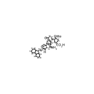 COc1ccc(C(=O)O)cc1N1CCC(=O)N(CNC(=O)[C@H](CC(N)=O)NC(=O)OCC2c3ccccc3-c3ccccc32)C1=O